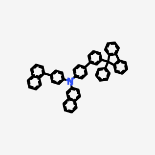 c1ccc(C2(c3cccc(-c4ccc(N(c5ccc(-c6cccc7ccccc67)cc5)c5ccc6ccccc6c5)cc4)c3)c3ccccc3-c3ccccc32)cc1